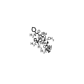 C=C[C@@H]1C[C@]1(NC(=O)[C@@H]1C[C@@]2(CN1C(=O)[C@@H](NC(=O)[C@@H](N)C1CCCCC1)C(C)(C)C)C(C)(C)C21CCC1)C(=O)NS(=O)(=O)C1(C)CC1